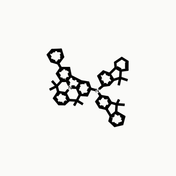 CC1(C)C2=C(CCC=C2)c2ccc(N(c3ccc4c(c3)C(C)(C)c3ccccc3-4)c3cc4c5c(c3)c3cc(-c6ccccc6)cc6c3n5-c3c(cccc3C4(C)C)C6(C)C)cc21